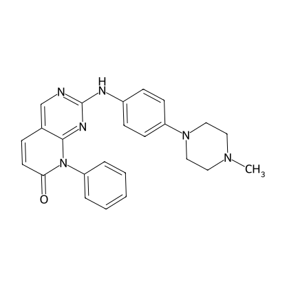 CN1CCN(c2ccc(Nc3ncc4ccc(=O)n(-c5ccccc5)c4n3)cc2)CC1